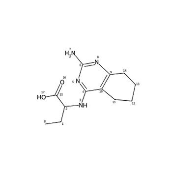 CCC(Nc1nc(N)nc2c1CCCC2)C(=O)O